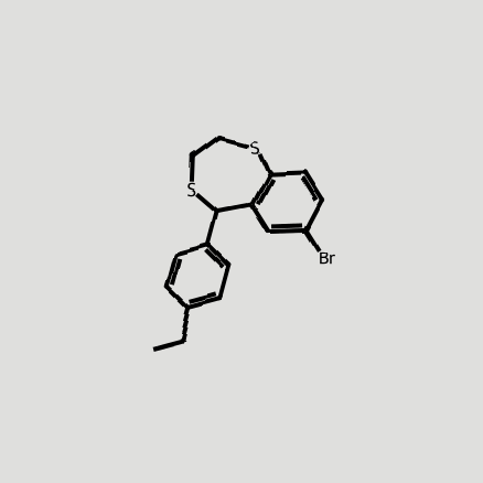 CCc1ccc(C2SCCSc3ccc(Br)cc32)cc1